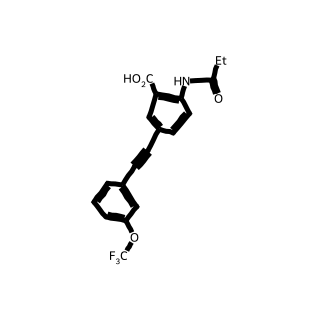 CCC(=O)Nc1ccc(C#Cc2cccc(OC(F)(F)F)c2)cc1C(=O)O